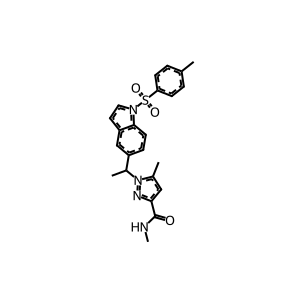 CNC(=O)c1cc(C)n(C(C)c2ccc3c(ccn3S(=O)(=O)c3ccc(C)cc3)c2)n1